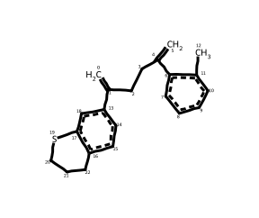 C=C(CCC(=C)c1ccccc1C)c1ccc2c(c1)SCCC2